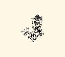 CCC(=O)NCCN1C(=O)C(C)(C)Oc2cc(C(F)(F)F)c(C(=O)N(C(C)C)[C@@H]3CCCN(C(=O)[C@@H](NC(=O)O)C(C)C)C3)cc21